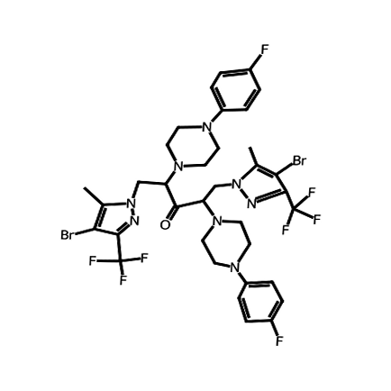 Cc1c(Br)c(C(F)(F)F)nn1CC(C(=O)C(Cn1nc(C(F)(F)F)c(Br)c1C)N1CCN(c2ccc(F)cc2)CC1)N1CCN(c2ccc(F)cc2)CC1